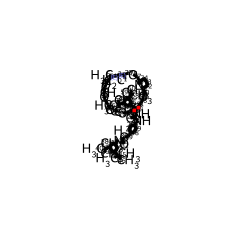 C=C/C1=C\C=C(/C)COCCOCCOCCOCc2c(NC(=O)Nc3ccc(COC(=O)Nc4cc(C(C)(C)C)cc(C(C)(C)C)c4)cc3)cc(cc2-c2cc(C(C)(C)C)cc(C(C)(C)C)c2)COCc2cccc(n2)COC1